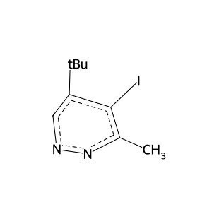 Cc1nncc(C(C)(C)C)c1I